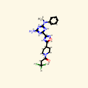 CN(c1ccccc1)c1nc(N)nc(-c2noc(C3CCN(C(=O)CC(F)(F)F)CC3)n2)n1